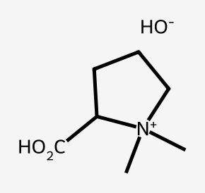 C[N+]1(C)CCCC1C(=O)O.[OH-]